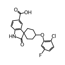 O=C(O)c1ccc2c(c1)C1(CCC(Oc3cc(F)ccc3Cl)CC1)C(=O)N2